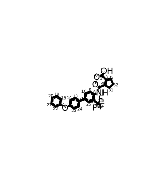 O=C(O)C1=C(C(=O)Nc2ccc(-c3ccc(Oc4ccccc4)cc3)cc2C(F)(F)F)CCC1